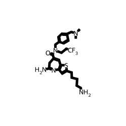 CN(C)Cc1ccc(CN(CCC(F)(F)F)C(=O)C2=Cc3sc(CCCCCN)cc3N=C(N)C2)cc1